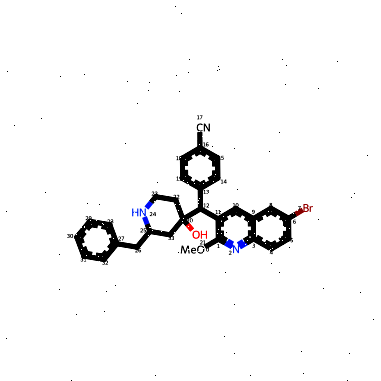 COc1nc2ccc(Br)cc2cc1C(c1ccc(C#N)cc1)C1(O)CCNC(Cc2ccccc2)C1